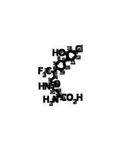 N=S(=O)(CCC(c1ccc(-c2ccc(Cl)cc2O)cc1)C(F)(F)F)CC[C@H](N)C(=O)O